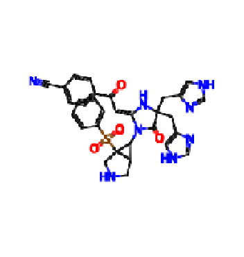 N#Cc1ccc(C(=O)C=C2NC(Cc3c[nH]cn3)(Cc3c[nH]cn3)C(=O)N2C2C3CNCC32S(=O)(=O)c2ccccc2)cc1